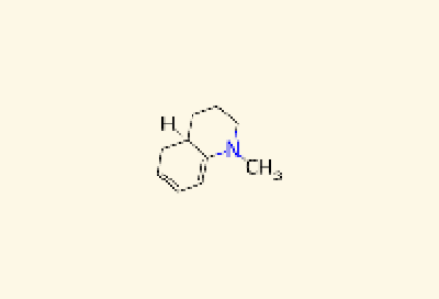 CN1CCC[C@@H]2CC=CC=C21